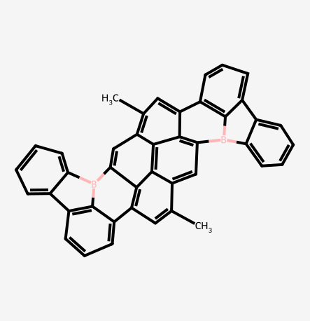 Cc1cc2c3c(cc4c(C)cc5c6c(cc1c3c46)B1c3ccccc3-c3cccc-5c31)B1c3ccccc3-c3cccc-2c31